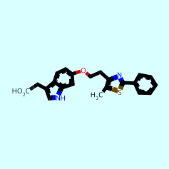 Cc1sc(-c2ccccc2)nc1CCOc1ccc2c(CC(=O)O)c[nH]c2c1